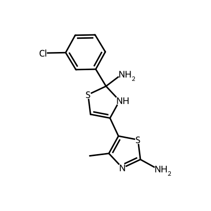 Cc1nc(N)sc1C1=CSC(N)(c2cccc(Cl)c2)N1